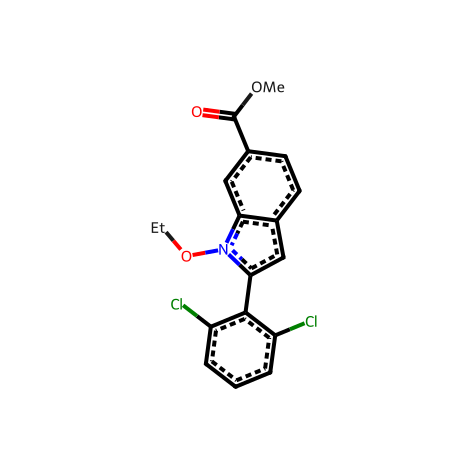 CCOn1c(-c2c(Cl)cccc2Cl)cc2ccc(C(=O)OC)cc21